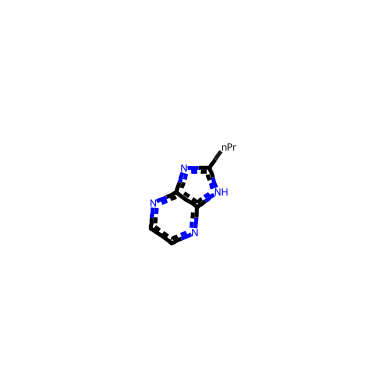 CCCc1nc2nccnc2[nH]1